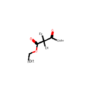 CCCCCCCCCOC(=O)C(CC)(CC)C(=O)OC